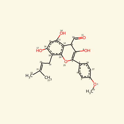 COc1ccc(C2=C(O)C(C=O)c3c(O)cc(O)c(CC=C(C)C)c3O2)cc1